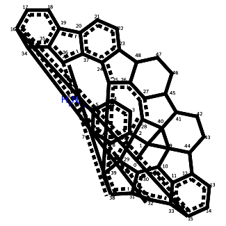 CC1(c2ccc(N)cc2)C23c4c5c6ccc7c8ccc9c%10ccc%11c%12c%13c%14c%15c(c%16c4c4c(c57)c8c9c(c%10%12)c4c%13%16)C12C(CCC63)C%15CCC%11%14